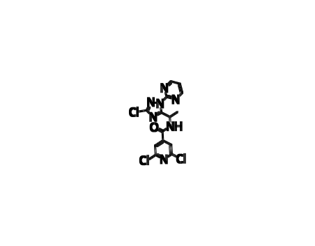 CC(NC(=O)c1cc(Cl)nc(Cl)c1)c1nc(Cl)nn1-c1ncccn1